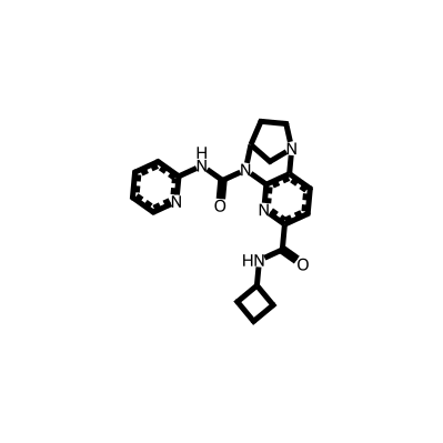 O=C(NC1CCC1)c1ccc2c(n1)N(C(=O)Nc1ccccn1)C1CCN2C1